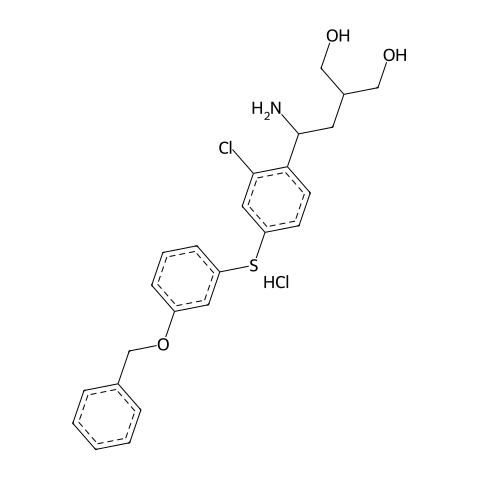 Cl.NC(CC(CO)CO)c1ccc(Sc2cccc(OCc3ccccc3)c2)cc1Cl